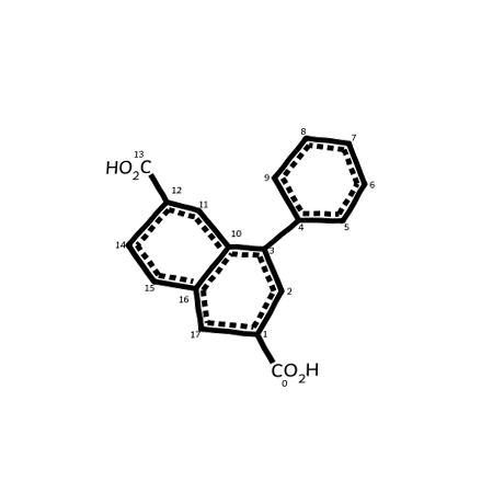 O=C(O)c1cc(-c2ccccc2)c2cc(C(=O)O)ccc2c1